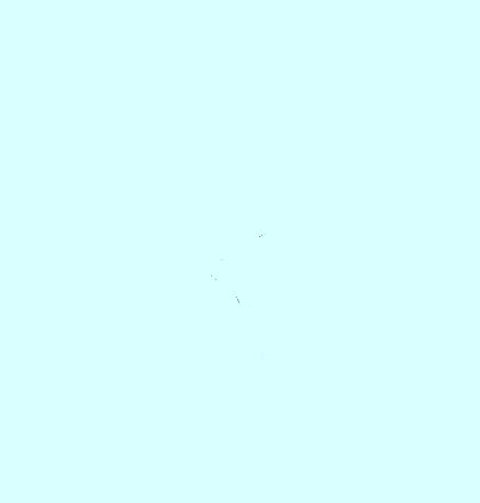 CC(C)c1ccc([C@@H]2[C@@H](CC[C@H](OCc3ccccc3)c3ccc(F)cc3)C(=O)N2c2ccc(F)cc2)cc1